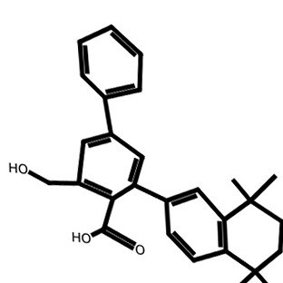 CC1(C)CCC(C)(C)c2cc(-c3cc(-c4ccccc4)cc(CO)c3C(=O)O)ccc21